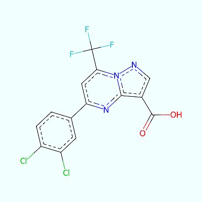 O=C(O)c1cnn2c(C(F)(F)F)cc(-c3ccc(Cl)c(Cl)c3)nc12